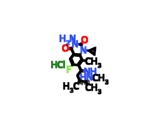 CN[C@@H](C)[C@H](C)CC(=N)c1c(F)cc2c(=O)n(N)c(=O)n(C3CC3)c2c1C.Cl